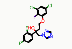 OC(CCOc1cc(Cl)cc(Cl)c1I)(Cn1cncn1)c1ccc(F)cc1F